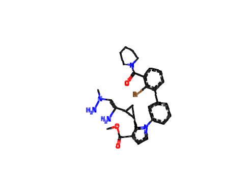 COC(=O)c1ccn(-c2cccc(-c3cccc(C(=O)N4CCCCC4)c3Br)c2)c1[C@@H]1CC1/C(N)=C/N(C)N